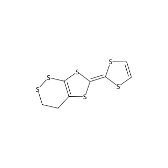 C1=CSC(=C2SC3=C(SSCC3)S2)S1